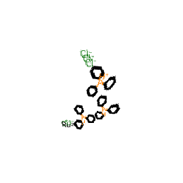 [Cl-].[Cl-].[Cl-].[Cl-].[Cl-].[Ru+2].c1ccc([PH+](c2ccccc2)c2ccccc2)cc1.c1ccc([PH+](c2ccccc2)c2ccccc2)cc1.c1ccc([PH+](c2ccccc2)c2ccccc2)cc1